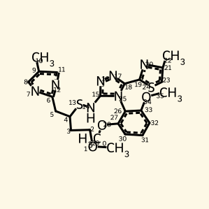 COCCC(Cc1ncc(C)cn1)SNc1nnc(-c2nc(C)cs2)n1-c1c(OC)cccc1OC